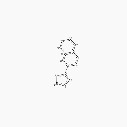 [c]1sccc1-c1ccc2ccccc2c1